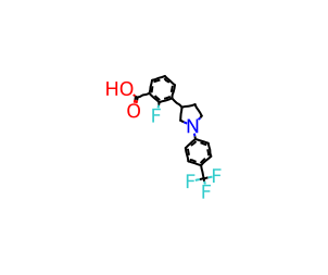 O=C(O)c1cccc(C2CCN(c3ccc(C(F)(F)F)cc3)C2)c1F